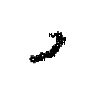 Nc1cccc(NC(=O)Nc2ccc(S(=O)(=O)c3ccc(NC(=O)Nc4cccc(NC(=O)Oc5ccccc5)c4)cc3)cc2)c1